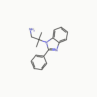 CC(C)(CN)n1c(-c2ccccc2)nc2ccccc21